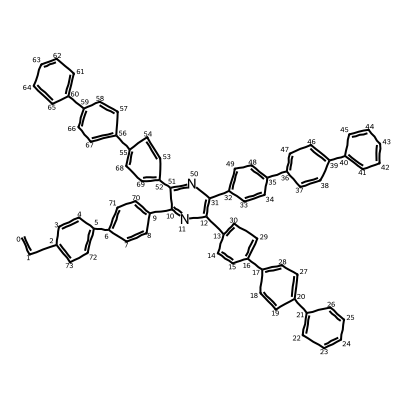 C=Cc1ccc(-c2ccc(-c3nc(-c4ccc(-c5ccc(-c6ccccc6)cc5)cc4)c(-c4ccc(-c5ccc(-c6ccccc6)cc5)cc4)nc3-c3ccc(-c4ccc(-c5ccccc5)cc4)cc3)cc2)cc1